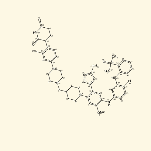 COc1cc(N2CCC(CN3CCN(c4ccc(C5CCC(=O)NC5=O)c(F)c4)CC3)CC2)c(-c2cnn(C)c2)cc1Nc1ncc(Cl)c(Nc2ccccc2P(C)(C)=O)n1